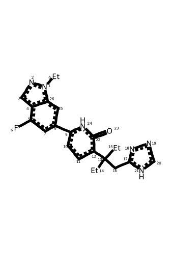 CCn1ncc2c(F)cc(-c3ccc(C(CC)(CC)Cc4nnc[nH]4)c(=O)[nH]3)cc21